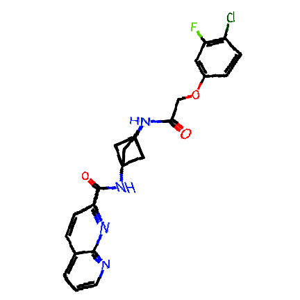 O=C(COc1ccc(Cl)c(F)c1)NC12CC(NC(=O)c3ccc4cccnc4n3)(C1)C2